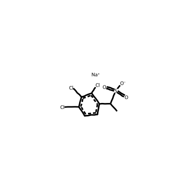 CC(c1ccc(Cl)c(Cl)c1Cl)S(=O)(=O)[O-].[Na+]